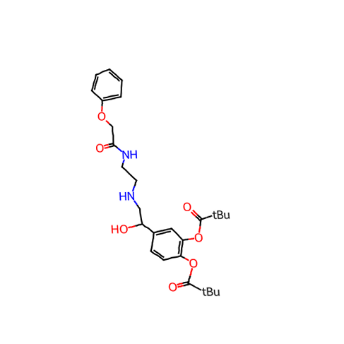 CC(C)(C)C(=O)Oc1ccc(C(O)CNCCNC(=O)COc2ccccc2)cc1OC(=O)C(C)(C)C